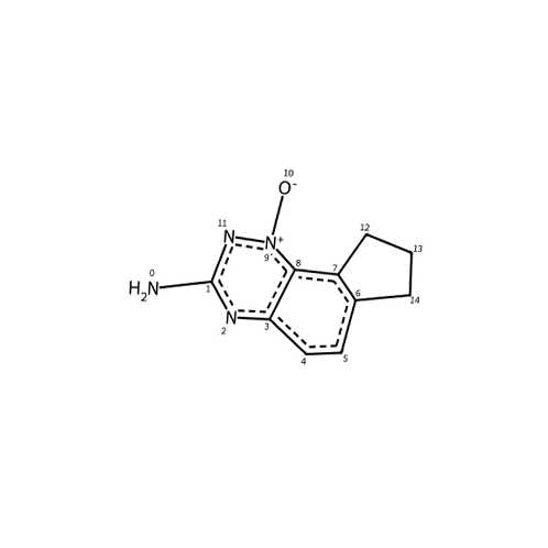 Nc1nc2ccc3c(c2[n+]([O-])n1)CCC3